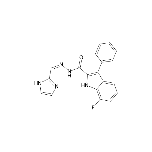 O=C(N/N=C\c1ncc[nH]1)c1[nH]c2c(F)cccc2c1-c1ccccc1